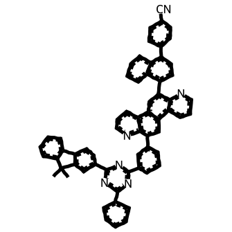 CC1(C)c2ccccc2-c2ccc(-c3nc(-c4ccccc4)nc(-c4cccc(-c5cc6c7cccnc7c(-c7ccc(-c8ccc(C#N)cc8)c8ccccc78)cc6c6cccnc56)c4)n3)cc21